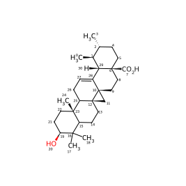 C[C@H]1[C@H](C)CC[C@]2(C(=O)O)CC[C@@]34C[C@]35CCC3C(C)(C)[C@@H](O)CC[C@]3(C)C5CC=C4[C@H]12